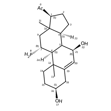 CC(=O)[C@H]1CC[C@H]2C3[C@H]([C@H](P)CC12C)C1(C)CC[C@H](O)CC1=C[C@@H]3O